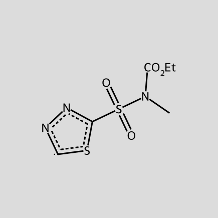 CCOC(=O)N(C)S(=O)(=O)c1nn[c]s1